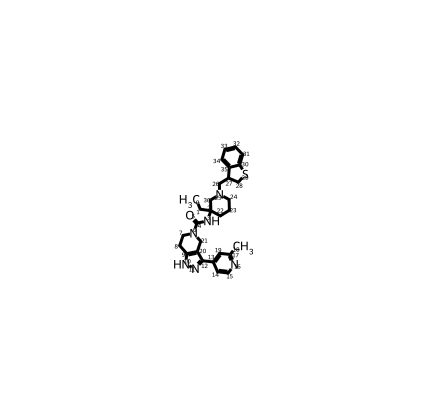 CCC1(NC(=O)N2CCc3[nH]nc(-c4ccnc(C)c4)c3C2)CCCN(CC2CSc3ccccc32)C1